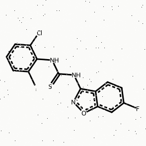 Cc1cccc(Cl)c1NC(=S)Nc1noc2cc(F)ccc12